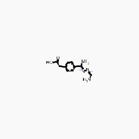 N/C=N\N=C(/N)c1ccc(CC(=O)O)cc1